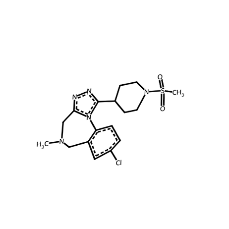 CN1Cc2cc(Cl)ccc2-n2c(nnc2C2CCN(S(C)(=O)=O)CC2)C1